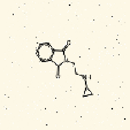 O=C1c2ccccc2C(=O)N1CCNC1CC1